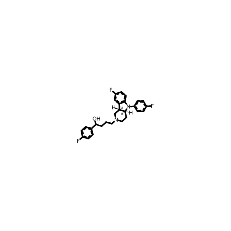 OC(CCCN1CC[C@H]2[C@H](C1)c1cc(F)ccc1N2c1ccc(F)cc1)c1ccc(F)cc1